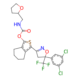 O=C(NCC1CCCO1)Oc1sc(C2=NOC(c3cc(Cl)cc(Cl)c3)(C(F)(F)F)C2)c2c1CCCC2